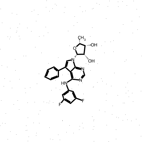 C[C@H]1O[C@@H](n2cc(-c3ccccc3)c3c(Nc4cc(F)cc(F)c4)ncnc32)[C@@H](O)[C@H]1O